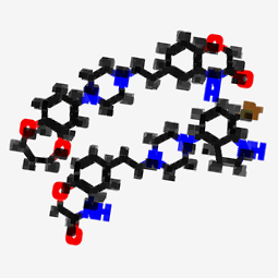 O=C1COc2ccc(CCN3CCN(c4ccc(Br)c5[nH]ccc45)CC3)cc2N1.O=C1COc2ccc(CCN3CCN(c4ccc5c(c4)OCCCO5)CC3)cc2N1